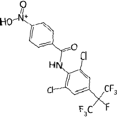 O=C(Nc1c(Cl)cc(C(F)(C(F)(F)F)C(F)(F)F)cc1Cl)c1ccc([N+](=O)O)cc1